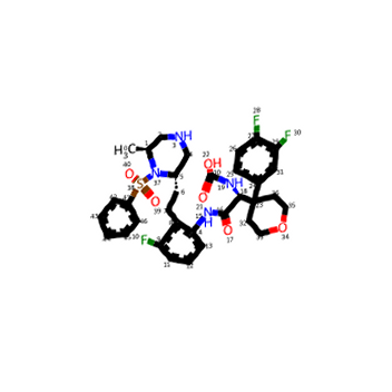 C[C@H]1CNC[C@H](CCc2c(F)cccc2NC(=O)[C@@H](NC(=O)O)C2(c3ccc(F)c(F)c3)CCOCC2)N1S(=O)(=O)c1ccccc1